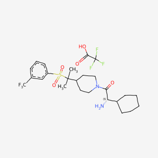 CC(C)(C1CCN(C(=O)[C@@H](N)C2CCCCC2)CC1)S(=O)(=O)c1cccc(C(F)(F)F)c1.O=C(O)C(F)(F)F